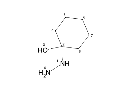 NNC1(O)CCCCC1